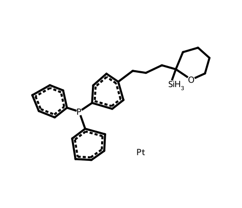 [Pt].[SiH3]C1(CCCc2ccc(P(c3ccccc3)c3ccccc3)cc2)CCCCO1